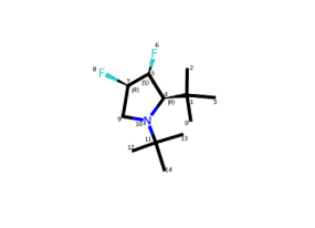 CC(C)(C)[C@@H]1[C@H](F)[C@H](F)CN1C(C)(C)C